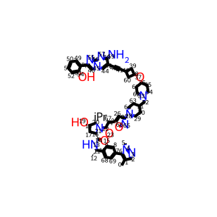 Cc1cnn(C)c1-c1ccc([C@H](C)NC(=O)[C@@H]2C[C@@H](O)CN2C(=O)[C@@H](c2cc(N3CCC(CN4CCC(OC5CC(C#Cc6cn7cc(-c8ccccc8O)nc7nc6N)C5)CC4)CC3)no2)C(C)C)cc1